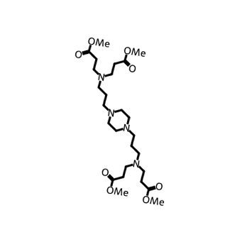 COC(=O)CCN(CCCN1CCN(CCCN(CCC(=O)OC)CCC(=O)OC)CC1)CCC(=O)OC